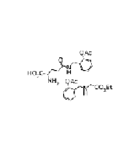 CC(=O)Oc1ccccc1CNC(=O)CCC(N)C(=O)O.CCOC(=O)CNCc1ccccc1OC(C)=O